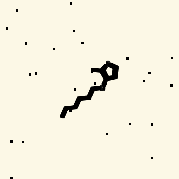 CCCCCCOc1ccsc1C